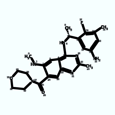 CNc1cc2c(N[C@H](C)c3cc(N)cc(C)c3F)nc(C)nc2cc1C(=O)N1CCOCC1